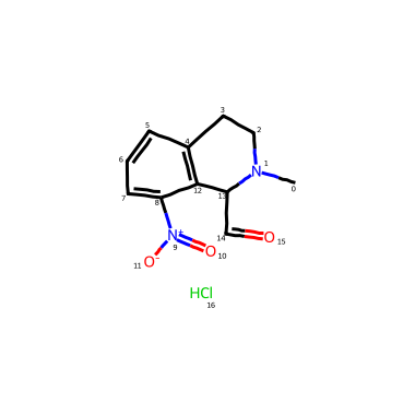 CN1CCc2cccc([N+](=O)[O-])c2C1C=O.Cl